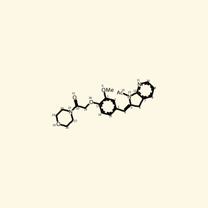 COc1cc(C=C2Cc3cccnc3N2C(C)=O)ccc1OCC(=O)N1CCOCC1